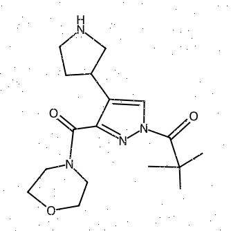 CC(C)(C)C(=O)n1cc(C2CCNC2)c(C(=O)N2CCOCC2)n1